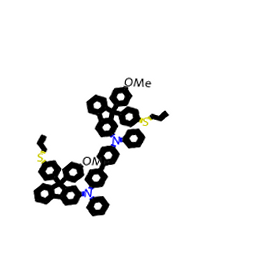 C=CCSc1ccc(C2(c3ccc(OC)cc3)c3ccccc3-c3ccc(N(c4ccccc4)c4ccc(-c5ccc(N(c6ccccc6)c6ccc7c(c6)C(c6ccc(OC)cc6)(c6ccc(SCC=C)cc6)c6ccccc6-7)cc5)cc4)cc32)cc1